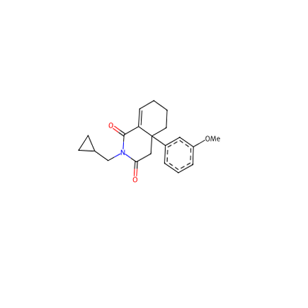 COc1cccc(C23CCCC=C2C(=O)N(CC2CC2)C(=O)C3)c1